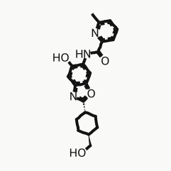 Cc1cccc(C(=O)Nc2cc3oc([C@H]4CC[C@H](CO)CC4)nc3cc2O)n1